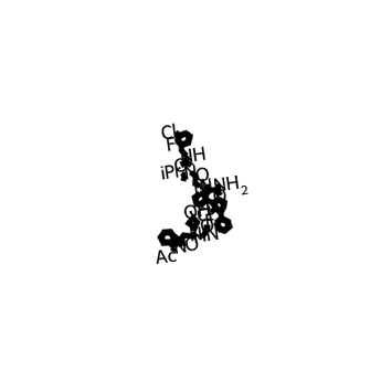 CC(=O)c1nn(CC(=O)N(CC(=O)Nc2cccc(-c3cccc(-c4cccc5c4c(C(N)=O)nn5CC(=O)N(CC(=O)NCc4cccc(Cl)c4F)C(C)C(C)C)c3Cl)c2F)[C@H]2C[C@H](O)C2)c2ccccc12